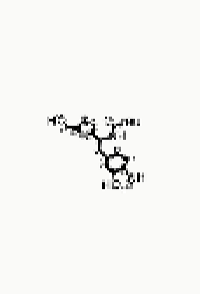 CC(C)(C)C(=O)NC(Cc1ccc(NS(=O)(=O)O)cc1)c1nc(CO)cs1